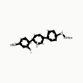 CCCCCCOc1ccc(-c2ccc(-c3ccc(CCCC)cc3F)nc2)cc1